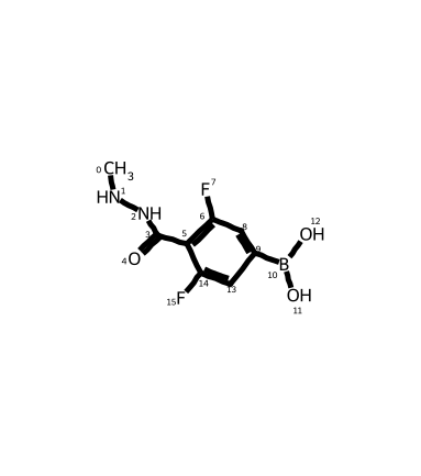 CNNC(=O)c1c(F)cc(B(O)O)cc1F